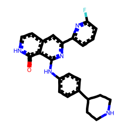 O=c1[nH]ccc2cc(-c3cccc(F)n3)nc(Nc3ccc(C4CCNCC4)cc3)c12